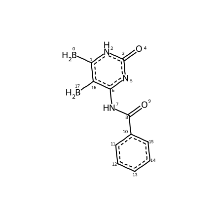 Bc1[nH]c(=O)nc(NC(=O)c2ccccc2)c1B